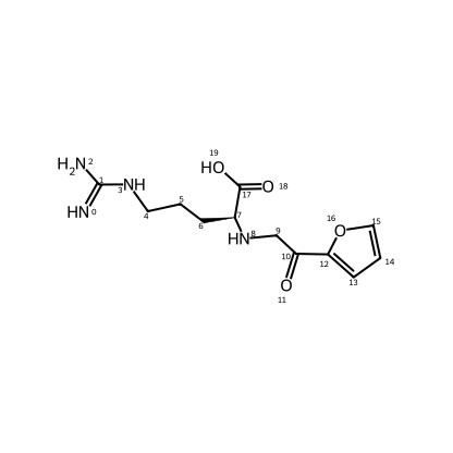 N=C(N)NCCC[C@H](NCC(=O)c1ccco1)C(=O)O